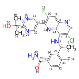 CC(Nc1c(Cl)cnc2cc(F)c(-c3cnc(C(C)(C)O)nc3)nc12)c1cc(C(N)=O)ccc1F